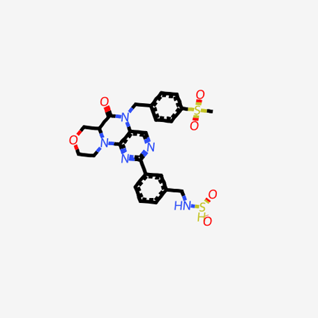 CS(=O)(=O)c1ccc(CN2C(=O)C3COCCN3c3nc(-c4cccc(CN[SH](=O)=O)c4)ncc32)cc1